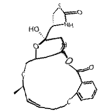 C[C@@H]1/C=C\CCc2ccccc2C(=O)O[C@@H]2CC(CC1)O[C@@](O)([C@@H]1CSC(=O)N1)C2